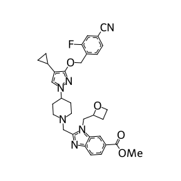 COC(=O)c1ccc2nc(CN3CCC(n4cc(C5CC5)c(OCc5ccc(C#N)cc5F)n4)CC3)n(CC3CCO3)c2c1